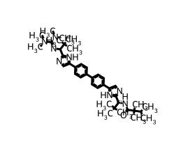 CC(C)C(C)(C)C(=O)N[C@H](c1ncc(-c2ccc(-c3ccc(-c4cnc(C(N=C(N(C)C)N(C)C)C(C)(C)C)[nH]4)cc3)cc2)[nH]1)C(C)(C)C